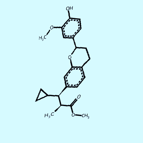 COC(=O)[C@@H](C)[C@H](c1ccc2c(c1)OC(c1ccc(O)c(OC)c1)CC2)C1CC1